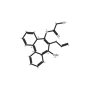 C=CCC1=C(OC(=O)CCl)C2C=CC=CC2=c2ccccc2=C1OC(C)=O